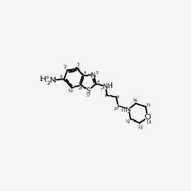 Nc1c[c]c2nc(NCCCN3CCOCC3)sc2c1